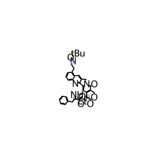 CC[C@@]1(OC(=O)[C@@H](N)Cc2ccccc2)C(=O)OCc2c1cc1n(c2=O)Cc2cc3c(C/C=N/OC(C)(C)C)cccc3nc2-1